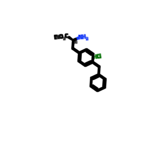 CCOC(=O)[C@@H](N)Cc1ccc(Cc2ccccc2)cc1.Cl